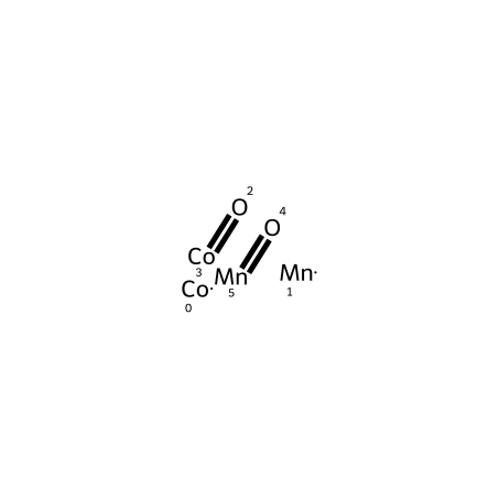 [Co].[Mn].[O]=[Co].[O]=[Mn]